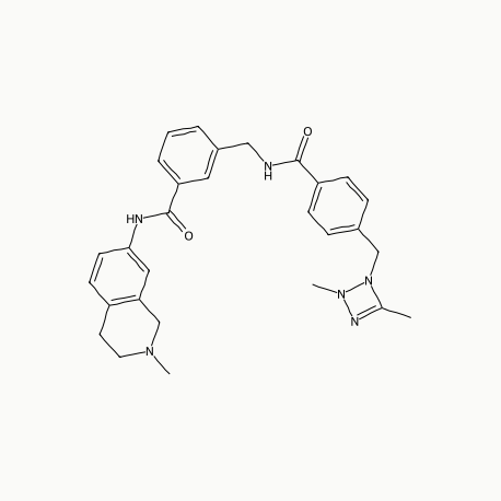 Cc1nn(C)n1Cc1ccc(C(=O)NCc2cccc(C(=O)Nc3ccc4c(c3)CN(C)CC4)c2)cc1